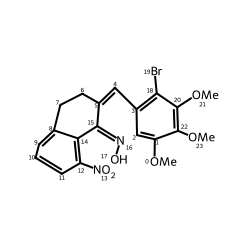 COc1cc(C=C2CCc3cccc([N+](=O)[O-])c3C2=NO)c(Br)c(OC)c1OC